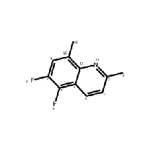 Cc1ccc2c(F)c(F)cc(C)c2n1